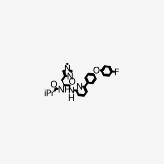 CC(C)C(=O)N[C@@H](Cc1cn(C)cn1)C(=O)Nc1cccc(-c2ccc(Oc3ccc(F)cc3)cc2)n1